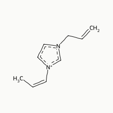 C=CCn1cc[n+](/C=C\C)c1